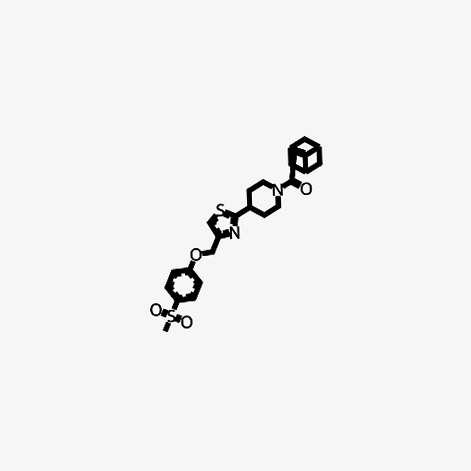 CS(=O)(=O)c1ccc(OCc2csc(C3CCN(C(=O)C4=C5C6CC(C4)CC5C6)CC3)n2)cc1